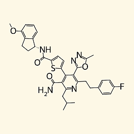 COc1cccc2c1CC[C@H]2NC(=O)c1ccc(-c2c(C(N)=O)c(CC(C)C)nc(CCc3ccc(F)cc3)c2-c2nnc(C)o2)s1